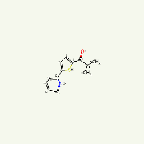 CC(C)C(=O)c1ccc(-c2ccccn2)s1